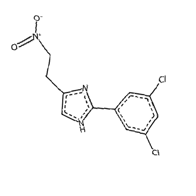 O=[N+]([O-])CCc1c[nH]c(-c2cc(Cl)cc(Cl)c2)n1